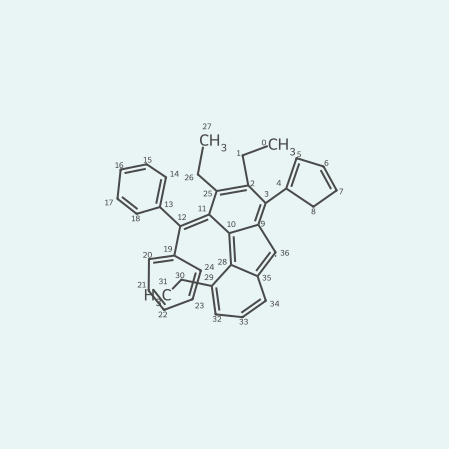 CCc1c(C2=CC=CC2)c2c(c(=C(c3ccccc3)c3ccccc3)c1CC)=c1c(CC)cccc1=[C]2